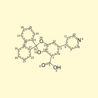 O=C(O)c1cc(-c2ccncc2)cc2c1OC(c1ccccc1)(c1ccccc1)O2